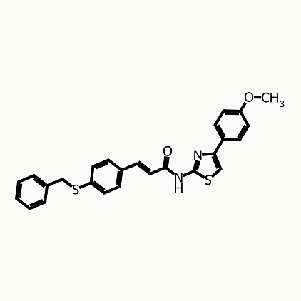 COc1ccc(-c2csc(NC(=O)/C=C/c3ccc(SCc4ccccc4)cc3)n2)cc1